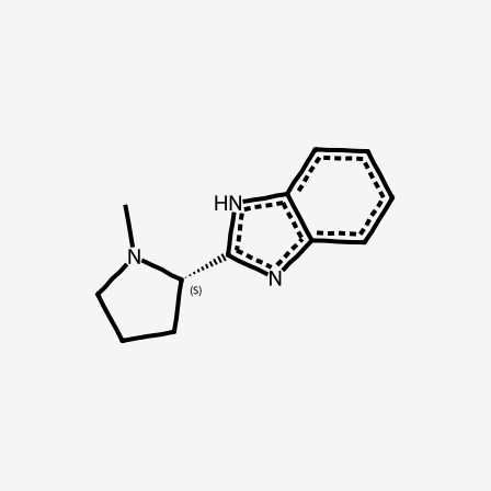 CN1CCC[C@H]1c1nc2ccccc2[nH]1